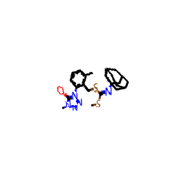 CS/C(=N/C12CC3CC(CC(C3)C1)C2)SCc1c(C)cccc1-n1nnn(C)c1=O